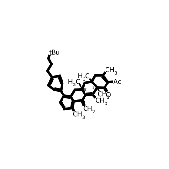 C=C1C2=C(C)[C@@]3(C)C(=O)C(C(C)=O)=C(C)C[C@@]3(C)C[C@@]2(C)Cc2c(-c3ccc(CCCC(C)(C)C)cc3)ccc(C)c21